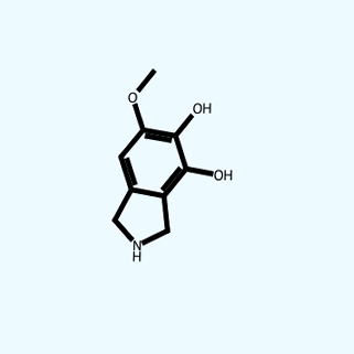 COc1cc2c(c(O)c1O)CNC2